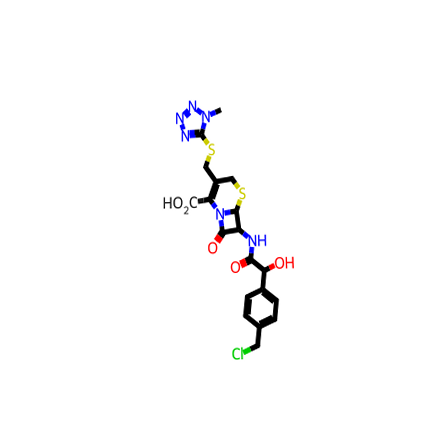 Cn1nnnc1SCC1=C(C(=O)O)N2C(=O)C(NC(=O)C(O)c3ccc(CCl)cc3)C2SC1